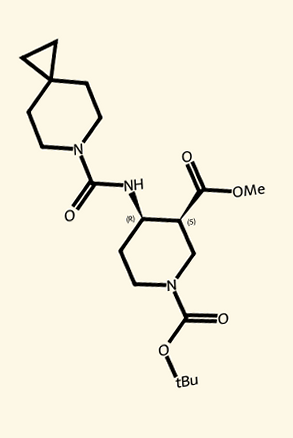 COC(=O)[C@H]1CN(C(=O)OC(C)(C)C)CC[C@H]1NC(=O)N1CCC2(CC1)CC2